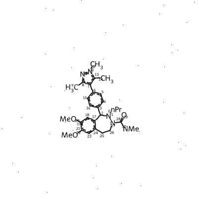 CCCN1C(c2ccc(-c3c(C)nn(C)c3C)cc2)c2cc(OC)c(OC)cc2CCN1C(=O)NC